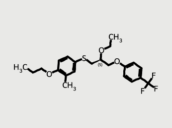 CCCOc1ccc(SC[C@H](COc2ccc(C(F)(F)F)cc2)OCC)cc1C